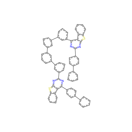 c1ccc(-c2ccc(-c3nc(-c4cccc(-c5cccc(-c6cccc(-c7cccc(-c8nc(-c9ccc(-c%10ccccc%10)cc9)c9c(n8)sc8ccccc89)c7)c6)c5)c4)c4c(n3)sc3ccccc34)cc2)cc1